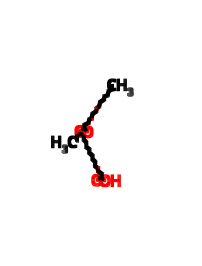 CCCCCCCCCCCCCCCC(=O)OC(CCC)CCCCCCCCCCCCCC(=O)O